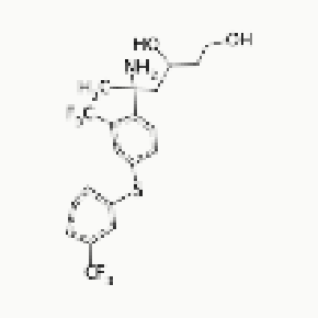 CC(N)(CC(O)CCO)c1ccc(Sc2cccc(C(F)(F)F)c2)cc1C(F)(F)F